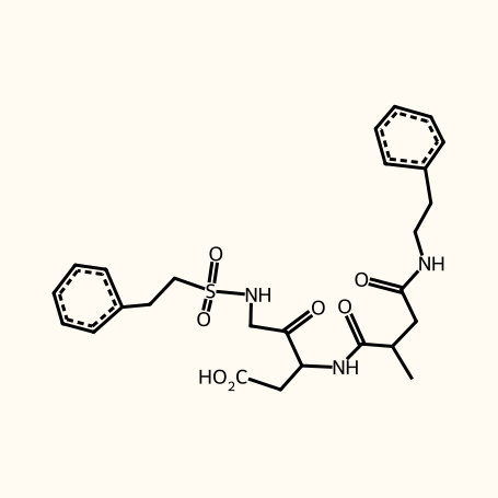 CC(CC(=O)NCCc1ccccc1)C(=O)NC(CC(=O)O)C(=O)CNS(=O)(=O)CCc1ccccc1